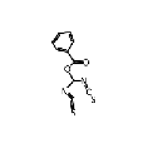 O=C(OC(N=C=S)N=C=S)c1ccccc1